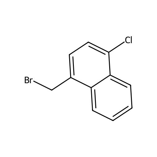 Clc1ccc(CBr)c2ccccc12